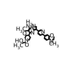 CC(=O)c1c(C2CCN(C(=O)[C@@H](C)O)CC2)nc2c(-c3ccc(-c4ccc5c(c4)OCCN5C)nc3)cnn2c1N